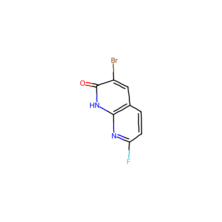 O=c1[nH]c2nc(F)ccc2cc1Br